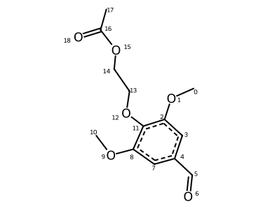 COc1cc(C=O)cc(OC)c1OCCOC(C)=O